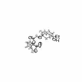 CCC1(O)C2CC3CC1CC(OCC(=O)OC1C4CC5C(=O)OC1C5C4)(C3)C2